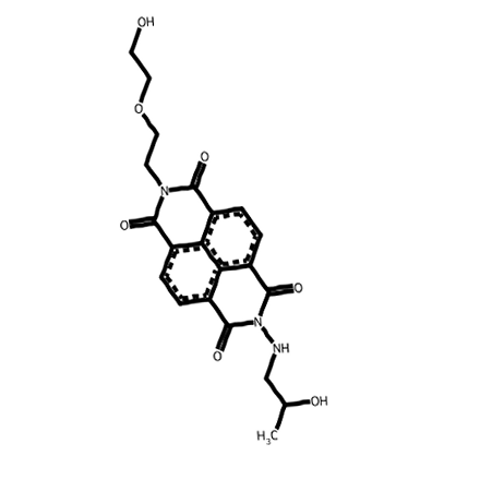 CC(O)CNN1C(=O)c2ccc3c4c(ccc(c24)C1=O)C(=O)N(CCOCCO)C3=O